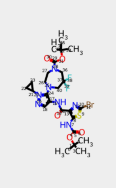 CC(C)(C)OC(=O)Nc1sc(Br)nc1C(=O)Nc1cnn(C2CC2)c1N1CCN(C(=O)OC(C)(C)C)CC(F)(F)C1